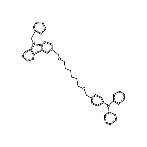 c1ccc(Cn2c3ccccc3c3cc(COCCCCCCOCc4ccc(N(c5ccccc5)c5ccccc5)cc4)ccc32)cc1